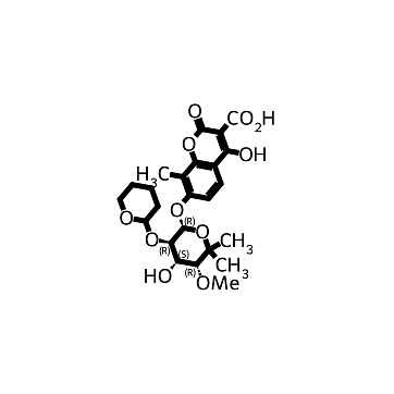 CO[C@@H]1[C@H](O)[C@@H](OC2CCCCO2)[C@H](Oc2ccc3c(O)c(C(=O)O)c(=O)oc3c2C)OC1(C)C